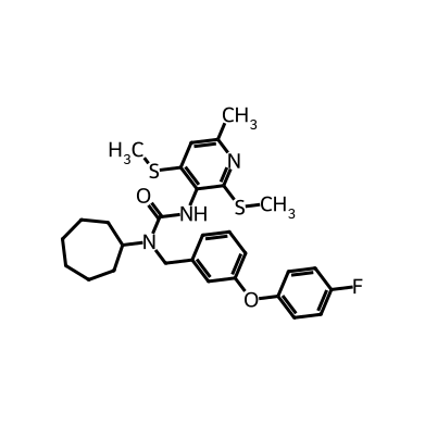 CSc1cc(C)nc(SC)c1NC(=O)N(Cc1cccc(Oc2ccc(F)cc2)c1)C1CCCCCC1